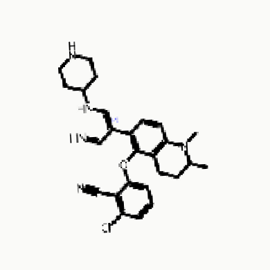 CC1CCc2c(ccc(/C(C=N)=C/NC3CCNCC3)c2Oc2cccc(Cl)c2C#N)N1C